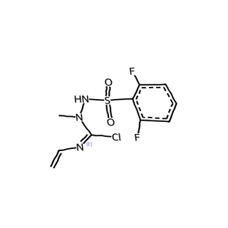 C=C/N=C(/Cl)N(C)NS(=O)(=O)c1c(F)cccc1F